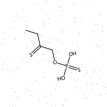 CCC(=S)COP(O)(O)=S